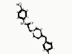 O=C(CN1CCC(Cc2ccc(F)cc2)CC1)Nc1ccc(O)cc1